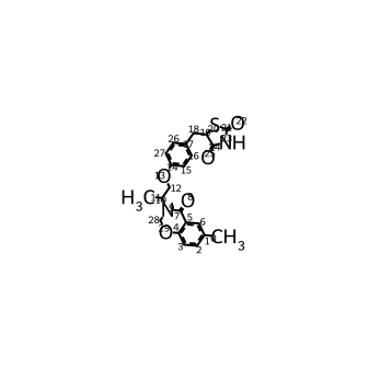 Cc1ccc2c(c1)C(=O)N(C(C)COc1ccc(CC3SC(=O)NC3=O)cc1)CO2